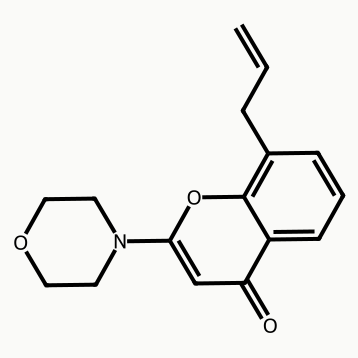 C=CCc1cccc2c(=O)cc(N3CCOCC3)oc12